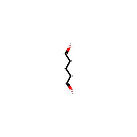 O=CC[C]CC=O